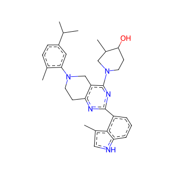 Cc1ccc(C(C)C)cc1N1CCc2nc(-c3cccc4[nH]cc(C)c34)nc(N3CCC(O)C(C)C3)c2C1